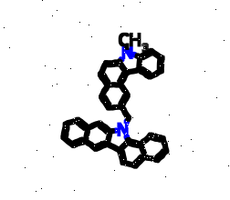 Cn1c2ccccc2c2c3cc(Cn4c5cc6ccccc6cc5c5ccc6ccccc6c54)ccc3ccc21